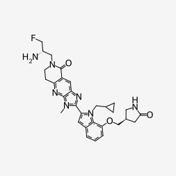 Cn1c(-c2cc3cccc(OC[C@H]4CNC(=O)C4)c3n2CC2CC2)nc2cc3c(nc21)CCN(C[C@H](N)CF)C3=O